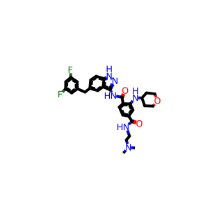 CN(C)CCNC(=O)c1ccc(C(=O)Nc2n[nH]c3ccc(Cc4cc(F)cc(F)c4)cc23)c(NC2CCOCC2)c1